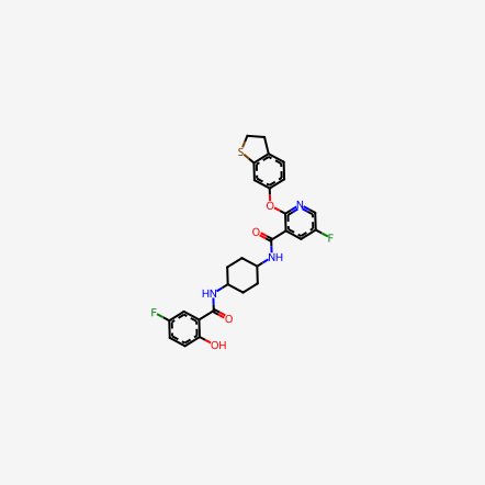 O=C(NC1CCC(NC(=O)c2cc(F)cnc2Oc2ccc3c(c2)SCC3)CC1)c1cc(F)ccc1O